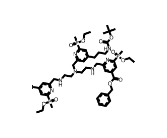 CCOP(C)(=O)c1cc(I)cc(CNCCN(CCNCc2cc(C(=O)OCc3ccccc3)cc(P(C)(=O)OCC)n2)Cc2cc(CCCNC(=O)OC(C)(C)C)cc(P(C)(=O)OCC)n2)n1